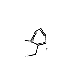 C[n+]1ccccc1CS.[I-]